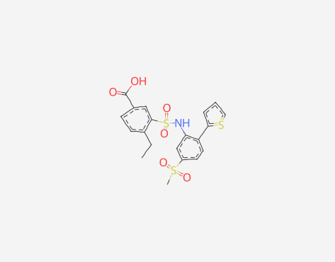 CCc1ccc(C(=O)O)cc1S(=O)(=O)Nc1cc(S(C)(=O)=O)ccc1-c1cccs1